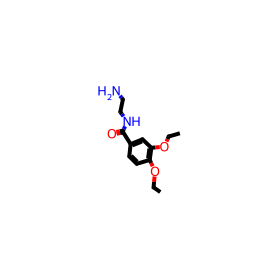 CCOc1ccc(C(=O)NCCN)cc1OCC